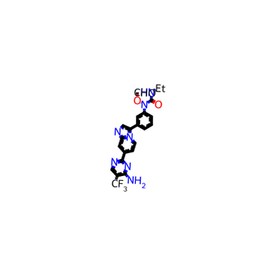 CCNC(=O)N(OC=O)c1cccc(-c2cnc3cc(-c4ncc(C(F)(F)F)c(N)n4)ccn23)c1